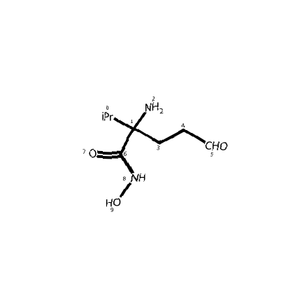 CC(C)C(N)(CCC=O)C(=O)NO